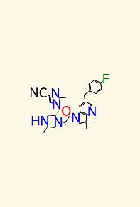 Cc1nc(C#N)cn1C[C@H]1CN[C@H](C)CN1CC(=O)N1CC(C)(C)c2ncc(Cc3ccc(F)cc3)cc21